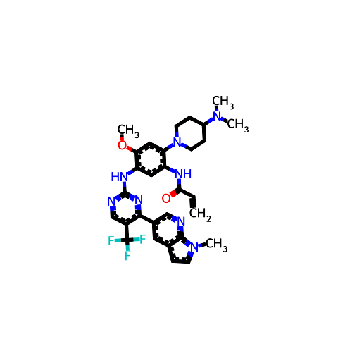 C=CC(=O)Nc1cc(Nc2ncc(C(F)(F)F)c(-c3cnc4c(ccn4C)c3)n2)c(OC)cc1N1CCC(N(C)C)CC1